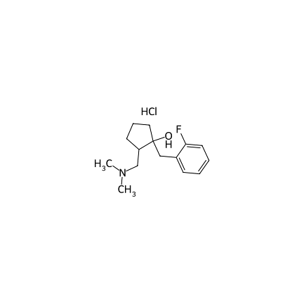 CN(C)CC1CCCC1(O)Cc1ccccc1F.Cl